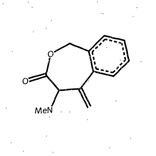 C=C1c2ccccc2COC(=O)C1NC